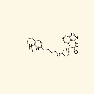 O=C1Oc2noc3cccc(c23)[C@H]1N1CC[C@@H](OCCCCc2ccc3c(n2)NCCC3)C1